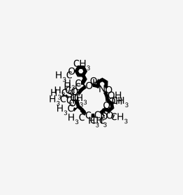 CC[C@@H]1/C=C(\C)C[C@H](C)C[C@H](OC)[C@H]2O[C@](O)([C@H](C)C[C@@H]2OC)[C@@H](O)C(=O)N2CCCC[C@H]2C(=O)O[C@H](/C(C)=C/C2CC[C@@H](C)[C@H](OC)C2)[C@@H](C)[C@@H](O[Si](C)(C)C(C)(C)C)CC1=O